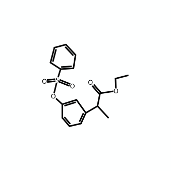 CCOC(=O)C(C)c1cccc(OS(=O)(=O)c2ccccc2)c1